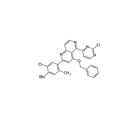 Cc1cc(C(C)(C)C)c(Cl)cc1-c1cc(OCc2ccccc2)c2c(-c3ccnc(Cl)n3)nccc2n1